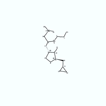 CCCOC(C[C@H]1CC[C@H](CC2CC2)C1C)CN(C)C